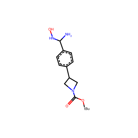 CC(C)(C)OC(=O)N1CC(c2ccc(C(N)NO)cc2)C1